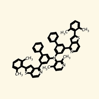 Cc1cccc(C)c1-c1cc2c(-c3cc(-c4ccccc4)cc(N(c4cc(-c5ccccc5)cc(-c5nccc6sc(-c7c(C)cccc7C)cc56)c4)c4c(C)ccnc4C)c3)nccc2s1